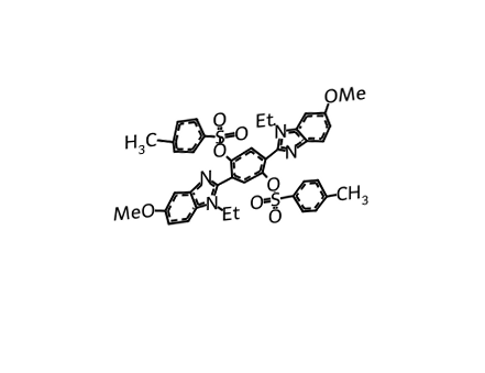 CCn1c(-c2cc(OS(=O)(=O)c3ccc(C)cc3)c(-c3nc4ccc(OC)cc4n3CC)cc2OS(=O)(=O)c2ccc(C)cc2)nc2cc(OC)ccc21